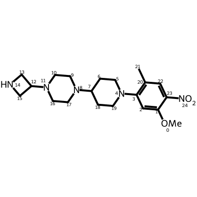 COc1cc(N2CCC(N3CCN(C4CNC4)CC3)CC2)c(C)cc1[N+](=O)[O-]